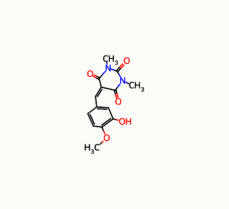 COc1ccc(C=C2C(=O)N(C)C(=O)N(C)C2=O)cc1O